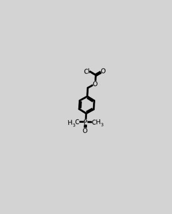 CP(C)(=O)c1ccc(COC(=O)Cl)cc1